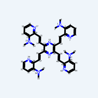 CN(C)c1cccnc1C=Cc1nc(C=Cc2ncccc2N(C)C)c(C=Cc2ncccc2N(C)C)nc1C=Cc1ncccc1N(C)C